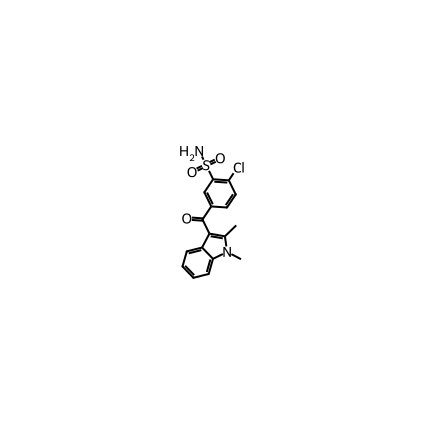 Cc1c(C(=O)c2ccc(Cl)c(S(N)(=O)=O)c2)c2ccccc2n1C